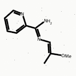 CO/C(C)=C/N=C(\N)c1ccccn1